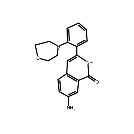 Nc1ccc2cc(-c3ccccc3N3CCOCC3)[nH]c(=O)c2c1